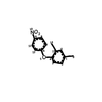 Cc1ccc(Oc2ccc([N+](=O)[O-])cc2)c(C)c1